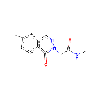 CNC(=O)Cn1ncc2cc(C)ccc2c1=O